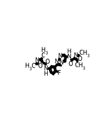 Cc1nc(C(=O)Nc2cnc3nc(-c4cc(NC(=O)c5oc(C)nc5C)ccc4F)cn3c2)c(C)o1